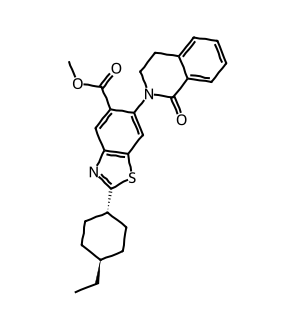 CC[C@H]1CC[C@H](c2nc3cc(C(=O)OC)c(N4CCc5ccccc5C4=O)cc3s2)CC1